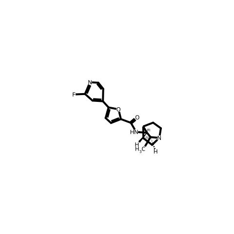 C[C@H]1[C@H](NC(=O)c2ccc(-c3ccnc(F)c3)o2)C2CCN1CC2